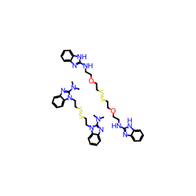 CN(C)c1nc2ccccc2n1CCSSCCn1c(N(C)C)nc2ccccc21.c1ccc2[nH]c(NCCOCCSSCCOCCNc3nc4ccccc4[nH]3)nc2c1